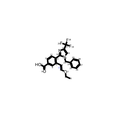 CCO/C=C/c1cc(C(=O)O)ccc1-c1nc(C(F)(F)F)cn1Cc1ccccc1